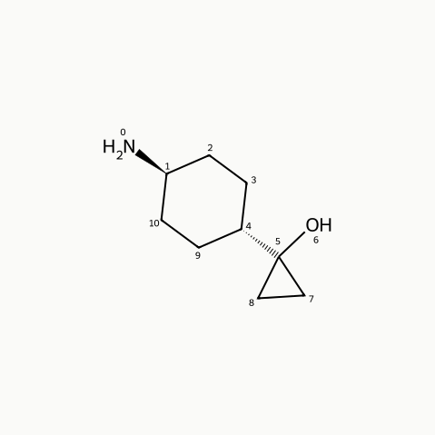 N[C@H]1CC[C@H](C2(O)CC2)CC1